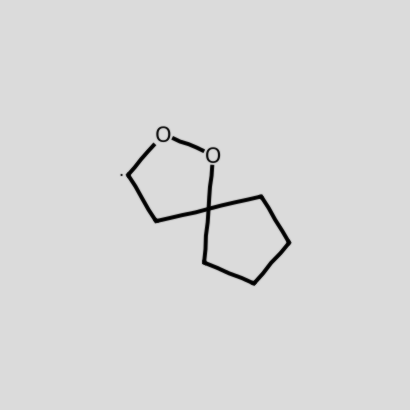 [CH]1CC2(CCCC2)OO1